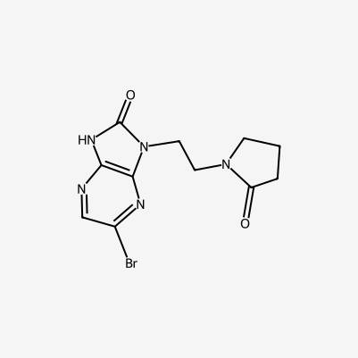 O=C1CCCN1CCn1c(=O)[nH]c2ncc(Br)nc21